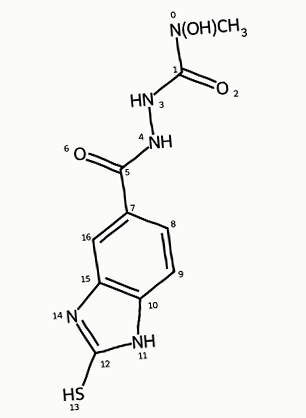 CN(O)C(=O)NNC(=O)c1ccc2[nH]c(S)nc2c1